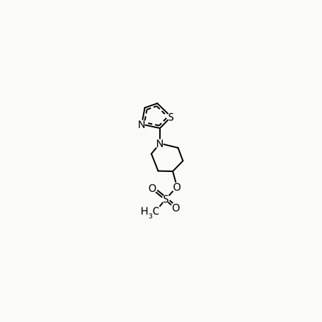 CS(=O)(=O)OC1CCN(c2nccs2)CC1